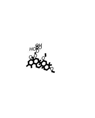 CCOC1CCC2(C)C(CC(OCC)C3(C)C2CCC2C4C(C)C(C)CCC4(C(=O)OCOP(=O)(O)O)CCC23C)C1(C)C